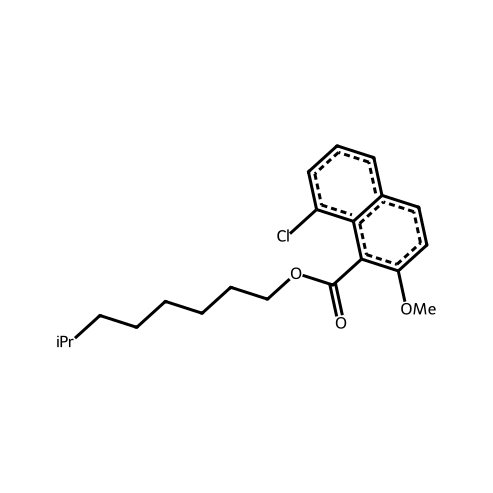 COc1ccc2cccc(Cl)c2c1C(=O)OCCCCCCC(C)C